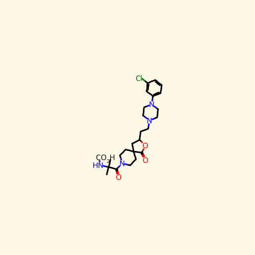 CC(C)(NC(=O)O)C(=O)N1CCC2(CC1)CC(CCN1CCN(c3cccc(Cl)c3)CC1)OC2=O